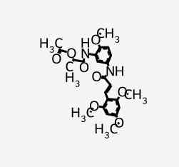 COc1cc(OC)c(/C=C/C(=O)Nc2ccc(OC)c(NC(=O)C(C)OC(C)=O)c2)c(OC)c1